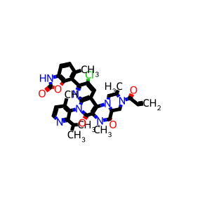 C=CC(=O)N1CC2C(=O)N(C)c3c(c4cc(Cl)c(-c5c(C)ccc6[nH]c(=O)oc56)nc4n(-c4c(C)ccnc4C(C)C)c3=O)N2CC1C